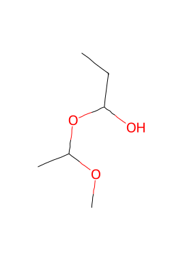 CCC(O)OC(C)OC